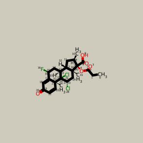 CCC(=O)O[C@]1(C(=O)O)[C@H](C)C[C@H]2[C@@H]3C[C@H](F)C4=CC(=O)C=C[C@]4(C)[C@@]3(Cl)[C@@H](Cl)C[C@@]21C